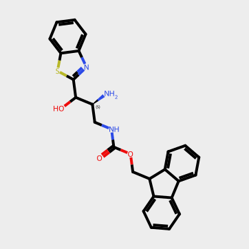 N[C@@H](CNC(=O)OCC1c2ccccc2-c2ccccc21)C(O)c1nc2ccccc2s1